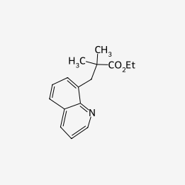 CCOC(=O)C(C)(C)Cc1cccc2cccnc12